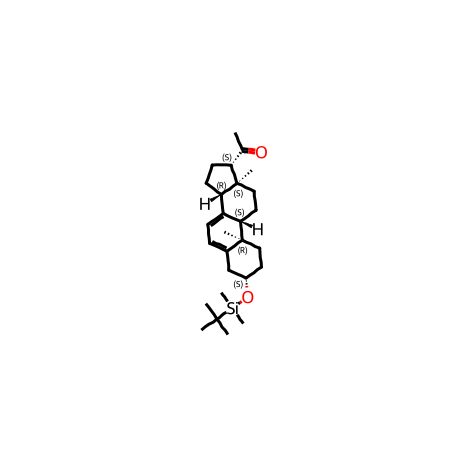 CC(=O)[C@H]1CC[C@H]2C3=CC=C4C[C@@H](O[Si](C)(C)C(C)(C)C)CC[C@]4(C)[C@H]3CC[C@]12C